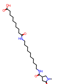 CN1CC(C(=O)NCCCCCCCCCCNC(=O)CCCCCCCCC(=O)O)CC1=O